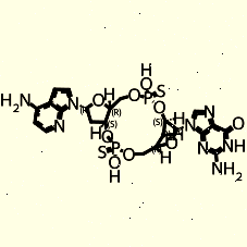 Nc1nc2c(ncn2[C@@H]2O[C@@H]3COP(O)(=S)O[C@H]4C[C@H](n5ccc6c(N)ccnc65)O[C@@H]4COP(O)(=S)O[C@@H]2[C@@H]3F)c(=O)[nH]1